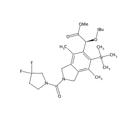 COC(=O)[C@@H](OC(C)(C)C)c1c(C)c2c(c(C)c1[Si](C)(C)C)CN(C(=O)N1CCC(F)(F)C1)C2